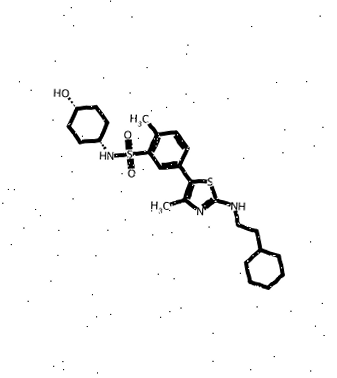 Cc1ccc(-c2sc(NCCC3CCCCC3)nc2C)cc1S(=O)(=O)N[C@H]1CC[C@@H](O)CC1